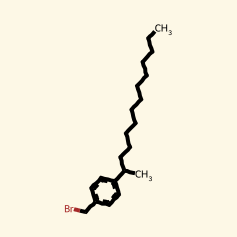 CCCCCCCCCCCCC(C)c1ccc(CBr)cc1